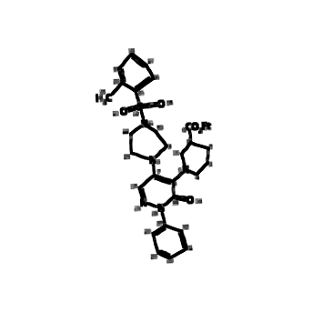 CCOC(=O)C1CCCN(c2c(N3CCN(S(=O)(=O)c4ccccc4C)CC3)cnn(-c3ccccc3)c2=O)C1